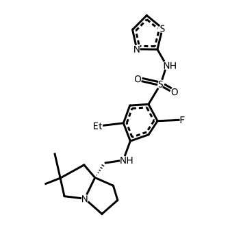 CCc1cc(S(=O)(=O)Nc2nccs2)c(F)cc1NC[C@]12CCCN1CC(C)(C)C2